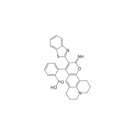 N=c1oc2c3c4c(cc2c(-c2ccccc2C(=O)O)c1-c1nc2ccccc2s1)CCCN4CCC3